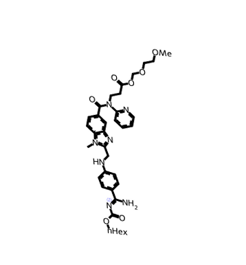 CCCCCCOC(=O)/N=C(\N)c1ccc(NCc2nc3cc(C(=O)N(CCC(=O)OCOCCOC)c4ccccn4)ccc3n2C)cc1